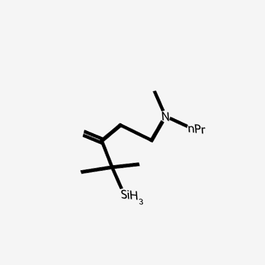 C=C(CCN(C)CCC)C(C)(C)[SiH3]